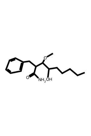 CCCCCC(O)C(OC)C(Cc1ccccc1)C(N)=O